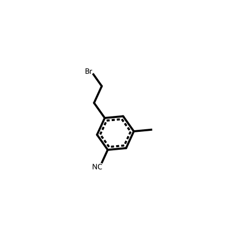 Cc1cc(C#N)cc(CCBr)c1